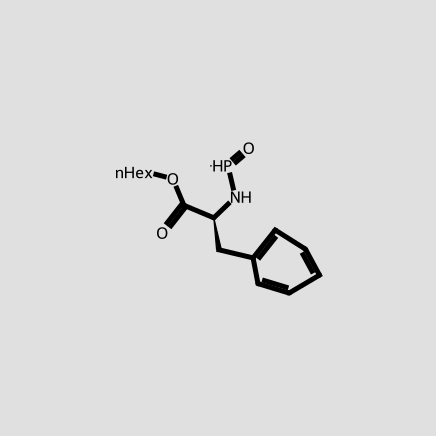 CCCCCCOC(=O)[C@H](Cc1ccccc1)N[PH]=O